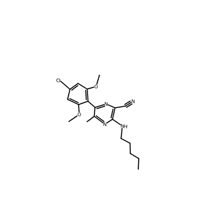 CCCCCNc1nc(C)c(-c2c(OC)cc(Cl)cc2OC)nc1C#N